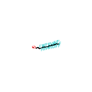 COCCCC(F)(F)C(F)(F)C(F)(F)C(F)(F)C(F)(F)C(F)(F)C(F)(F)C(F)(F)C(F)(F)C(F)(F)C(F)(F)F